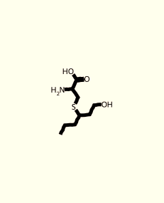 CCCC(CCO)SCC(N)C(=O)O